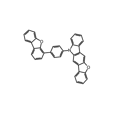 c1ccc2c(c1)oc1cc3c4ccccc4n(-c4ccc(-c5cccc6c5oc5ccccc56)cc4)c3cc12